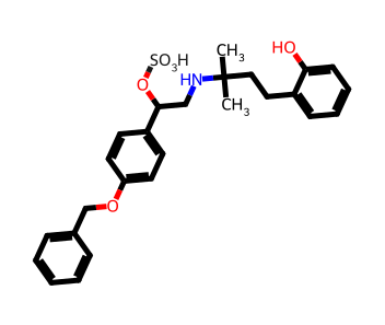 CC(C)(CCc1ccccc1O)NCC(OS(=O)(=O)O)c1ccc(OCc2ccccc2)cc1